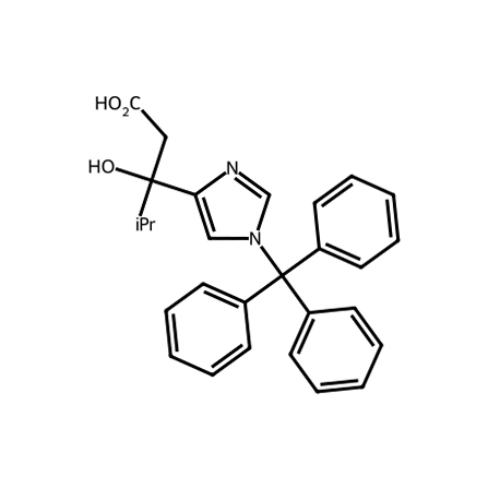 CC(C)C(O)(CC(=O)O)c1cn(C(c2ccccc2)(c2ccccc2)c2ccccc2)cn1